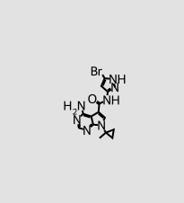 CC1(n2cc(C(=O)Nc3cc(Br)[nH]n3)c3c(N)ncnc32)CC1